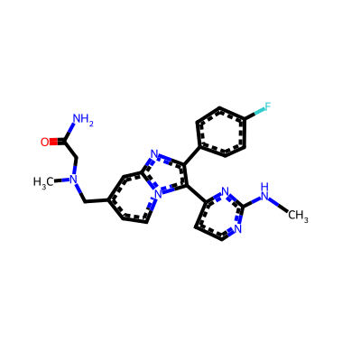 CNc1nccc(-c2c(-c3ccc(F)cc3)nc3cc(CN(C)CC(N)=O)ccn23)n1